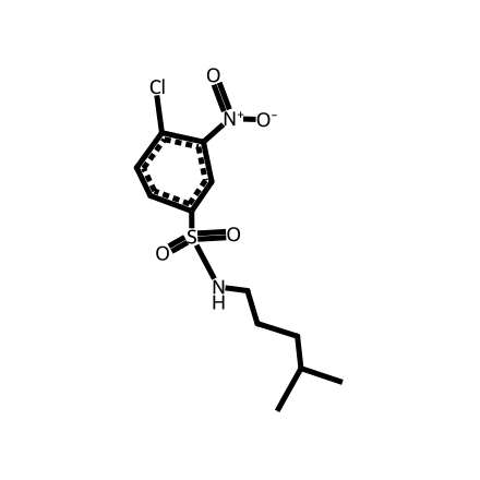 CC(C)CCCNS(=O)(=O)c1ccc(Cl)c([N+](=O)[O-])c1